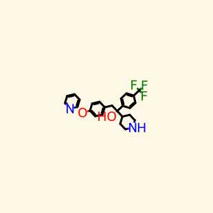 OC(Cc1ccc(Oc2ccccn2)cc1)(c1ccc(C(F)(F)F)cc1)C1CCNCC1